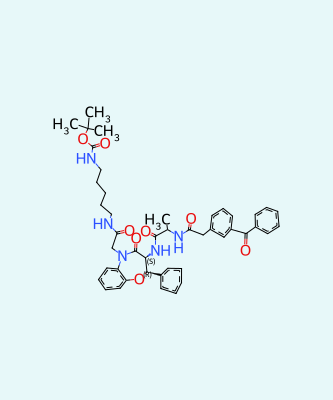 CC(NC(=O)Cc1cccc(C(=O)c2ccccc2)c1)C(=O)N[C@@H]1C(=O)N(CC(=O)NCCCCCNC(=O)OC(C)(C)C)c2ccccc2O[C@@H]1c1ccccc1